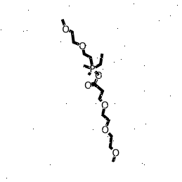 CCP(C)(C)(CCOCCOC)OC(=O)CCOCCOCCOC